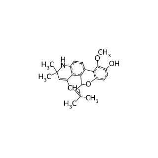 COc1c(O)ccc2c1-c1ccc3c(c1C(C=C(C)C)O2)C(C)=CC(C)(C)N3